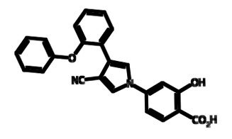 N#Cc1cn(-c2ccc(C(=O)O)c(O)c2)cc1-c1ccccc1Oc1ccccc1